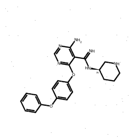 N=C(N[C@@H]1CCCNC1)c1c(N)ncnc1Oc1ccc(Oc2ccccc2)cc1